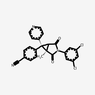 C[C@@]12C(=O)N(c3cc(Cl)cc(Cl)c3)C(=O)C1[C@]2(c1ccncc1)c1ccc(C#N)cc1